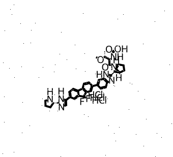 CO[C@H](C)[C@H](NC(=O)O)C(=O)N1[C@@H]2CC[C@H](C2)[C@H]1c1nc2ccc(-c3ccc4c(c3)C(F)(F)c3cc(-c5cnc([C@@H]6CCCN6)[nH]5)ccc3-4)cc2[nH]1.Cl.Cl.Cl